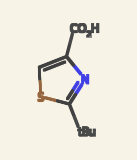 CC(C)(C)c1nc(C(=O)O)cs1